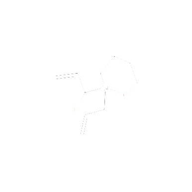 C=CC[Si]1(C(F)C=C)CCCCO1